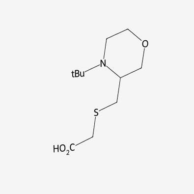 CC(C)(C)N1CCOCC1CSCC(=O)O